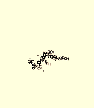 CN(CCS(=O)(=O)CCOS(=O)(=O)O)C(=O)c1cccc(/N=N/c2c(SOOO)cc3c(/N=N/c4ccc(S(=O)(=O)CCOSOOO)cc4)c(NCS(=O)(=O)O)ccc3c2O)c1